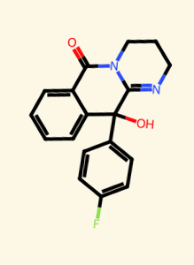 O=C1c2ccccc2C(O)(c2ccc(F)cc2)C2=NCCCN12